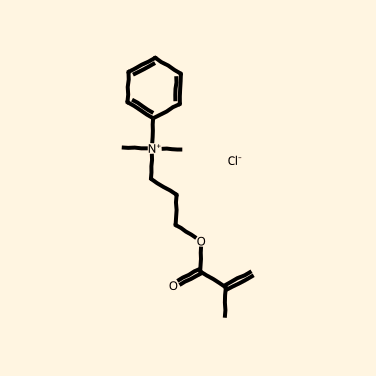 C=C(C)C(=O)OCCC[N+](C)(C)c1ccccc1.[Cl-]